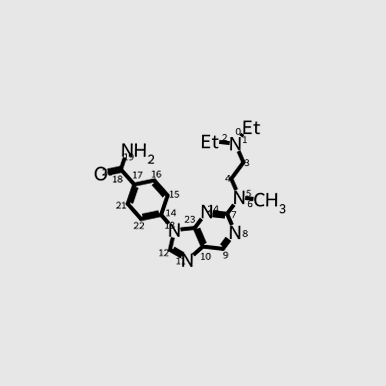 CCN(CC)CCN(C)c1ncc2ncn(-c3ccc(C(N)=O)cc3)c2n1